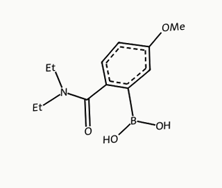 CCN(CC)C(=O)c1ccc(OC)cc1B(O)O